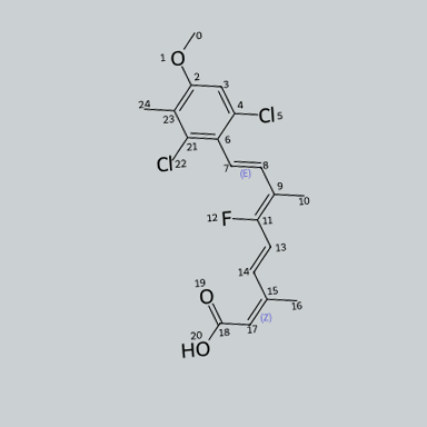 COc1cc(Cl)c(/C=C/C(C)=C(F)C=C/C(C)=C\C(=O)O)c(Cl)c1C